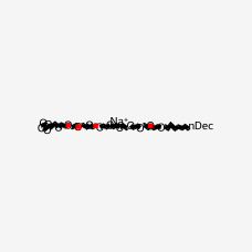 CCCCCCCCCCCCCCCCCCOCCOCCOCCOCCOCCOCCOCCOCCOCCOCCOCCOS(=O)(=O)[O-].[Na+]